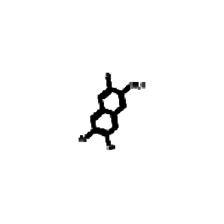 CC(=O)c1cc2cc(O)c(C(=O)O)cc2cc1O